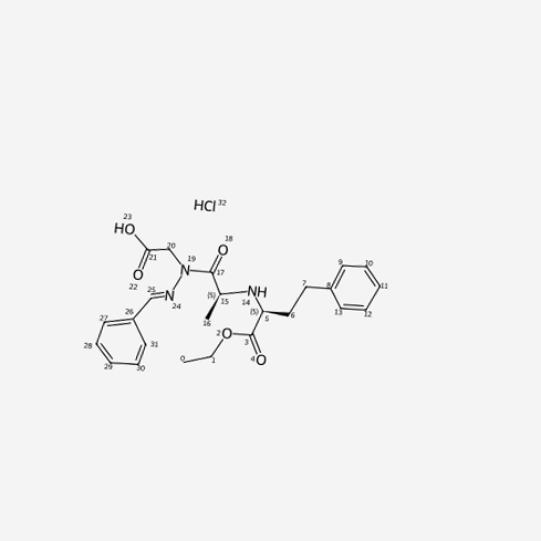 CCOC(=O)[C@H](CCc1ccccc1)N[C@@H](C)C(=O)N(CC(=O)O)N=Cc1ccccc1.Cl